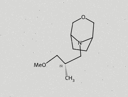 COC[C@@H](C)CN1C2CCC1COC2